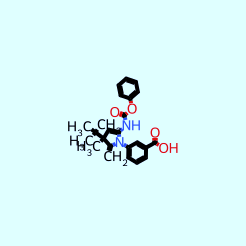 C=C1N(c2cccc(C(=O)O)c2)C(NC(=O)Oc2ccccc2)=CC1(C)C(C)(C)C